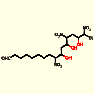 CCC(C(O)CC(C(O)CC(O)C(CCCCCCC[C]=O)[N+](=O)[O-])[N+](=O)[O-])[N+](=O)[O-]